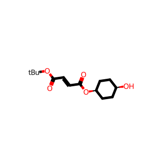 CC(C)(C)OC(=O)/C=C/C(=O)O[C@H]1CC[C@@H](O)CC1